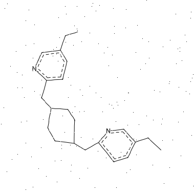 CCc1ccc(CC2CCC(Cc3ccc(CC)cn3)CC2)nc1